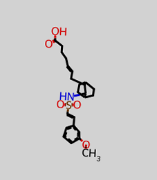 COc1cccc(C=CS(=O)(=O)NC2C3CCC(CC3)C2CC=CCCCC(=O)O)c1